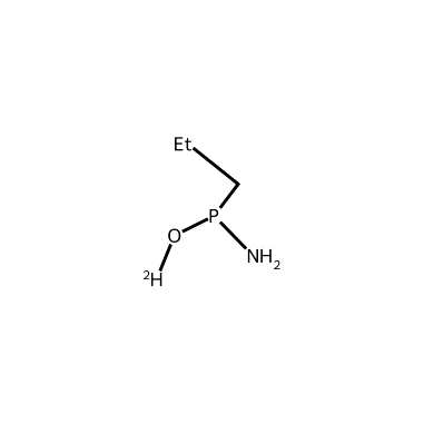 [2H]OP(N)CCC